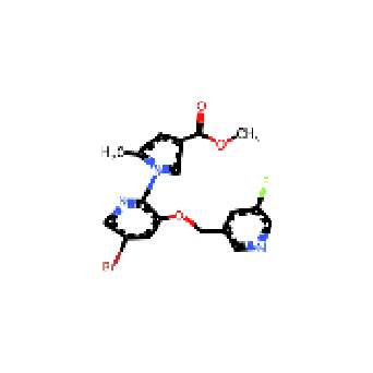 COC(=O)c1cc(C)n(-c2ncc(Br)cc2OCc2cncc(F)c2)c1